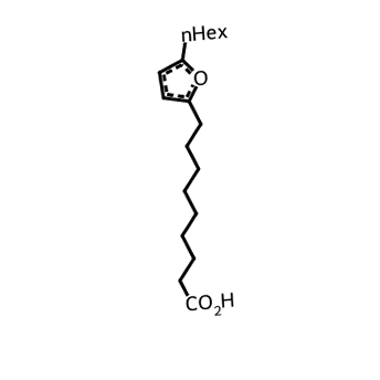 CCCCCCc1ccc(CCCCCCCCC(=O)O)o1